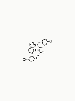 CC(NC(=O)C(C)(C)Oc1ccc(Cl)cc1)C(Cc1ccc(Cl)cc1)n1nnc2ccccc21